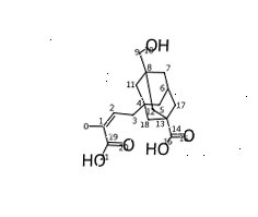 CC(=CCC12CC3CC(CO)(C1)CC(C(=O)O)(C3)C2)C(=O)O